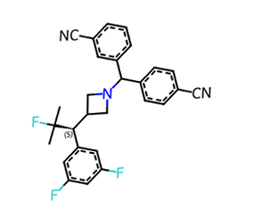 CC(C)(F)[C@H](c1cc(F)cc(F)c1)C1CN(C(c2ccc(C#N)cc2)c2cccc(C#N)c2)C1